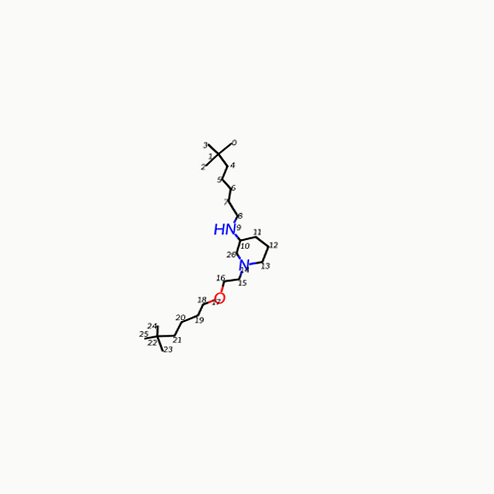 CC(C)(C)CCCCCNC1CCCN(CCOCCCCC(C)(C)C)C1